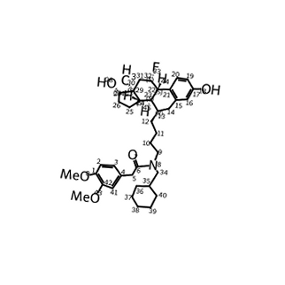 COc1ccc(CC(=O)N(CCCC[C@@H]2Cc3cc(O)ccc3[C@@H]3[C@@H]2[C@@H]2CC[C@H](O)[C@@]2(C)C[C@@H]3F)CC2CCCCC2)cc1OC